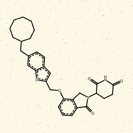 O=C1CCC(N2Cc3c(OCc4cc5ccc(CC6CCCCCCC6)cc5o4)cccc3C2=O)C(=O)N1